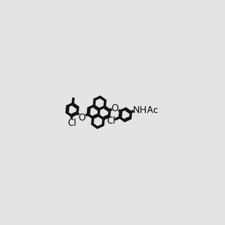 CC(=O)Nc1ccc(Cl)c(Oc2cc3c4c(c(Oc5cc(C)ccc5Cl)cc5c4c2CCC5)CCC3)c1